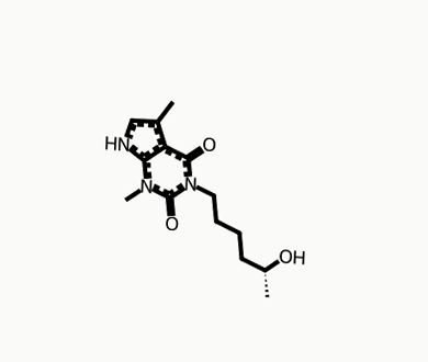 Cc1c[nH]c2c1c(=O)n(CCCC[C@@H](C)O)c(=O)n2C